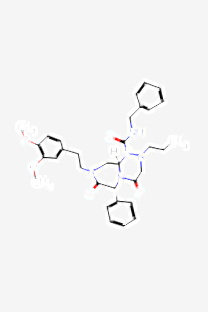 CCCN1CC(=O)N2[C@@H](c3ccccc3)C(=O)N(CCc3ccc(OC)c(OC)c3)C[C@@H]2N1C(=O)NCc1ccccc1